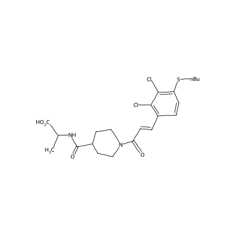 CCCCSc1ccc(/C=C/C(=O)N2CCC(C(=O)NC(C)C(=O)O)CC2)c(Cl)c1Cl